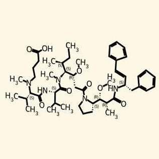 CC[C@H](C)[C@@H]([C@@H](CC(=O)N1CCC[C@H]1[C@H](OC)[C@@H](C)C(=O)N[C@H](C=Cc1ccccc1)Cc1ccccc1)OC)N(C)C(=O)[C@@H](NC(=O)[C@H](C(C)C)N(C)CCCC(=O)O)C(C)C